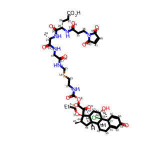 CCC(=O)O[C@]1(C(=O)COC(=O)NCCSCNC(=O)CNC(=O)[C@H](C)NC(=O)[C@H](CCC(=O)O)NC(=O)CCN2C(=O)C=CC2=O)[C@H](C)C[C@H]2[C@@H]3CCC4=CC(=O)C=C[C@]4(C)[C@@]3(Cl)[C@@H](O)C[C@@]21C